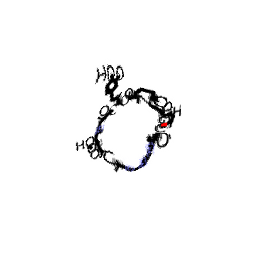 COc1cc(C[C@@H](C)[C@@H]2CC(=O)[C@H](C)/C=C(\C)C(O)[C@@H](OC)C(=O)[C@H](C)C[C@H](C)/C=C/C=C/C=C(\C)[C@@H](OC)C[C@@H]3CC[C@@H](C)[C@@](O)(O3)C(=O)C(=O)N3CCCC[C@H]3C(=O)O2)ccc1O